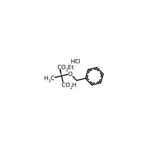 CCOC(=O)[C@@](C)(OCc1ccccc1)C(=O)O.Cl